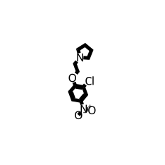 O=[N+]([O-])c1ccc(OCCN2CCCC2)c(Cl)c1